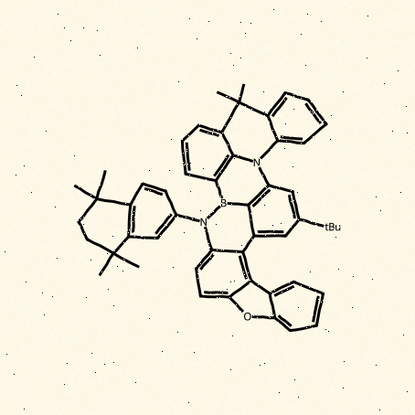 CC(C)(C)c1cc2c3c(c1)N1c4ccccc4C(C)(C)c4cccc(c41)B3N(c1ccc3c(c1)C(C)(C)CCC3(C)C)c1ccc3oc4ccccc4c3c1-2